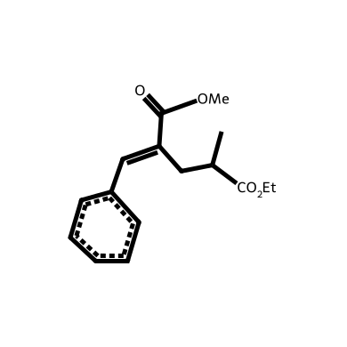 CCOC(=O)C(C)C/C(=C\c1ccccc1)C(=O)OC